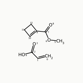 C=CC(=O)O.COC(=O)C1=CCC1